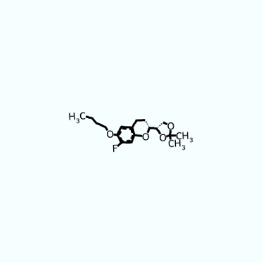 CCCCOc1cc2c(cc1F)O[C@@H]([C@@H]1COC(C)(C)O1)CC2